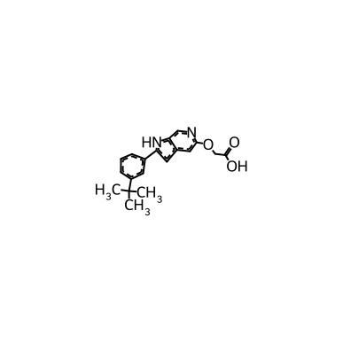 CC(C)(C)c1cccc(-c2cc3cc(OCC(=O)O)ncc3[nH]2)c1